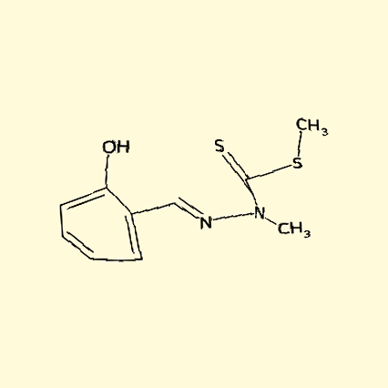 CSC(=S)N(C)N=Cc1ccccc1O